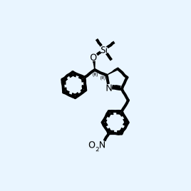 C[Si](C)(C)O[C@H](c1ccccc1)[C@H]1CCC(Cc2ccc([N+](=O)[O-])cc2)=N1